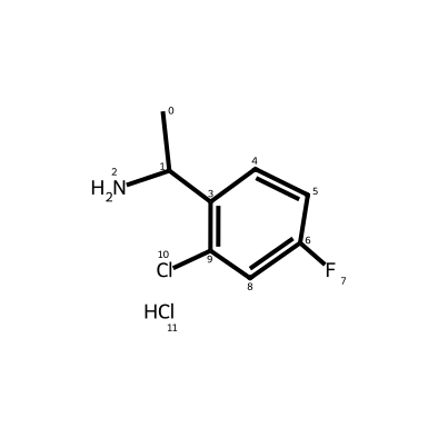 CC(N)c1ccc(F)cc1Cl.Cl